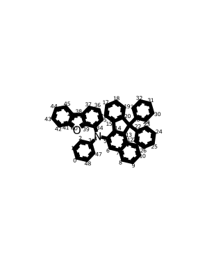 c1ccc(N(c2cc3ccccc3c3c2-c2ccccc2C3(c2ccccc2)c2ccccc2)c2cccc3c2oc2ccccc23)cc1